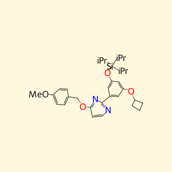 COc1ccc(COc2ccnc(-c3cc(OC4CCC4)cc(O[Si](C(C)C)(C(C)C)C(C)C)c3)n2)cc1